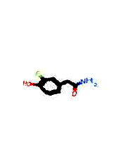 NC(=O)Cc1ccc(O)c(F)c1